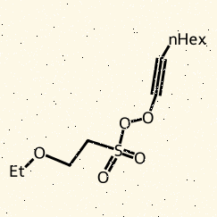 CCCCCCC#COOS(=O)(=O)CCOCC